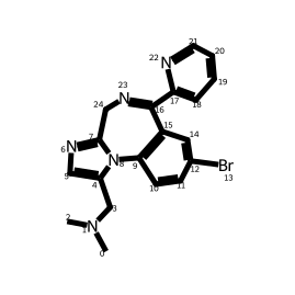 CN(C)Cc1cnc2n1-c1ccc(Br)cc1C(c1ccccn1)=NC2